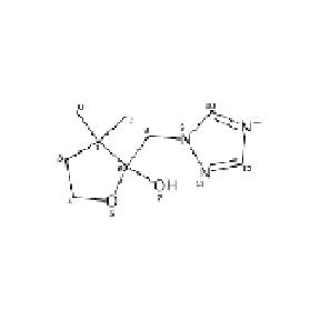 CC1(C)CCOC1(O)Cn1cncn1